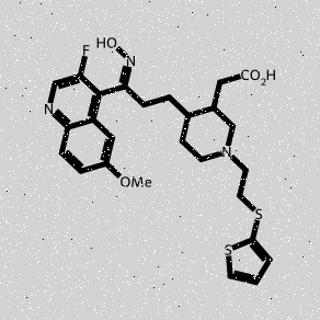 COc1ccc2ncc(F)c(/C(CCC3CCN(CCSc4cccs4)CC3CC(=O)O)=N\O)c2c1